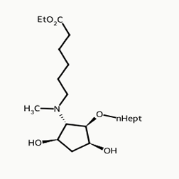 CCCCCCCO[C@@H]1[C@@H](N(C)CCCCCC(=O)OCC)[C@H](O)C[C@@H]1O